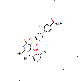 CCCCc1nc(=O)c(S(=O)(=O)c2ccc(-c3ccc(C(=O)NC)cc3F)cc2)c(O)n1[C@@H](CC)c1cccc(C#N)c1